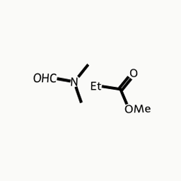 CCC(=O)OC.CN(C)C=O